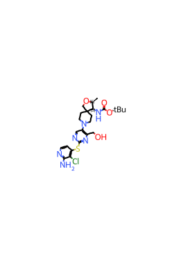 C[C@@H]1OCC2(CCN(c3cnc(Sc4ccnc(N)c4Cl)nc3CO)CC2)[C@@H]1NC(=O)OC(C)(C)C